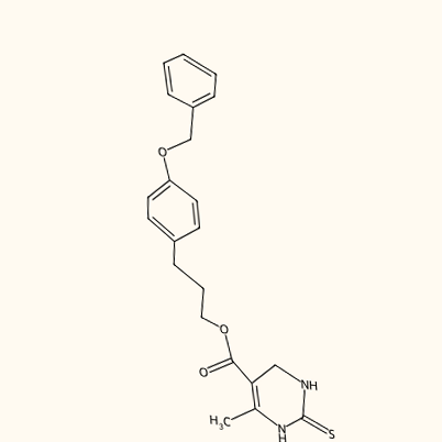 CC1=C(C(=O)OCCCc2ccc(OCc3ccccc3)cc2)CNC(=S)N1